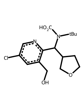 CC(C)(C)N(C(=O)O)C(c1ncc(Cl)cc1CO)C1CCOC1